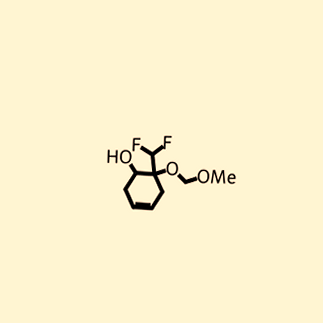 COCOC1(C(F)F)CC=CCC1O